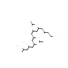 CC(O)CC(O)CC1CC(CC2CC(CC(O)CCO)OC(C)O2)OC(C)O1